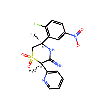 C[C@@]1(c2ccccn2)C(=N)N[C@](C)(c2cc([N+](=O)[O-])ccc2F)CS1(=O)=O